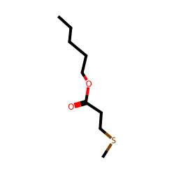 CCCCCOC(=O)CCSC